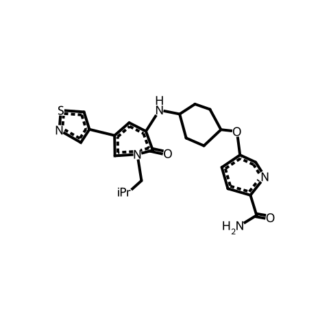 CC(C)Cn1cc(-c2cnsc2)cc(NC2CCC(Oc3ccc(C(N)=O)nc3)CC2)c1=O